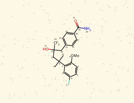 COc1ccc(F)cc1C(C)(C)CC(O)(Cc1ccc(C(N)=O)cc1)C(F)(F)F